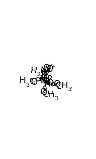 COc1ccc(CN(Cc2ccc(OC)cc2)S(=O)(=O)c2cccc(-c3cnc(N)c([N+](=O)[O-])c3)c2-c2nnn(Cc3ccc(OC)cc3)n2)cc1